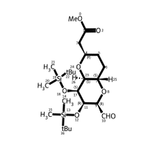 COC(=O)C[C@H]1CC[C@@H]2O[C@@H](C=O)[C@@H](O[Si](C)(C)C(C)(C)C)[C@@H](O[Si](C)(C)C(C)(C)C)[C@H]2O1